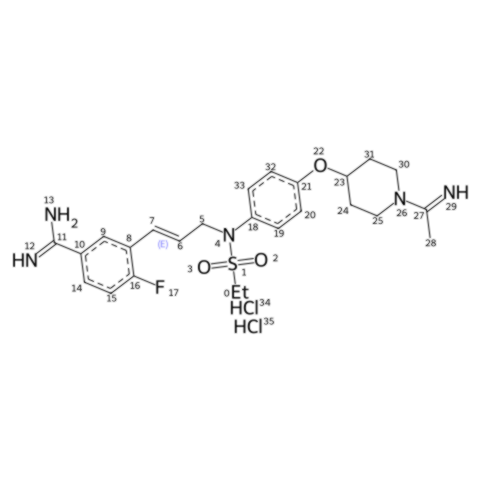 CCS(=O)(=O)N(C/C=C/c1cc(C(=N)N)ccc1F)c1ccc(OC2CCN(C(C)=N)CC2)cc1.Cl.Cl